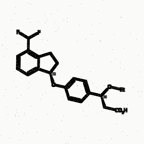 CCO[C@@H](CC(=O)O)c1ccc(O[C@@H]2CCc3c(C(F)F)cccc32)cc1